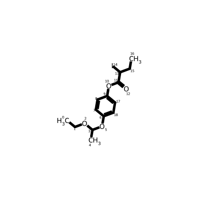 CCOC(C)Oc1ccc(OC(=O)C(I)CC)cc1